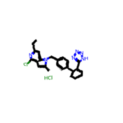 CCc1cc2c(cc(C)n2Cc2ccc(-c3ccccc3-c3nnn[nH]3)cc2)c(Cl)n1.Cl